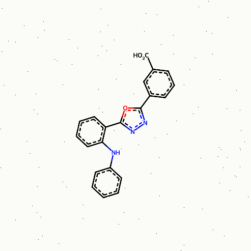 O=C(O)c1cccc(-c2nnc(-c3ccccc3Nc3ccccc3)o2)c1